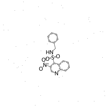 O=[N+]([O-])c1cnc2ccccc2c1S(=O)(=O)NCc1ccccc1